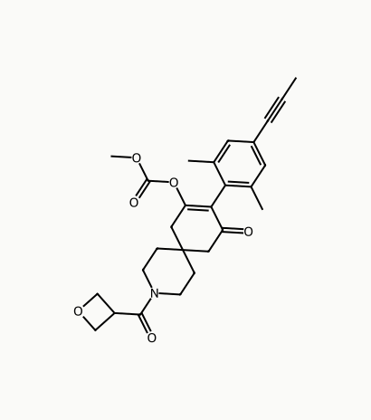 CC#Cc1cc(C)c(C2=C(OC(=O)OC)CC3(CCN(C(=O)C4COC4)CC3)CC2=O)c(C)c1